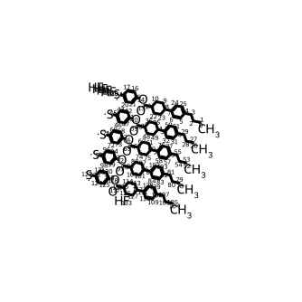 CCCCc1ccc(C2CCC(C(=O)Oc3ccc([S])cc3)CC2)cc1.CCCCc1ccc(C2CCC(C(=O)Oc3ccc([S])cc3)CC2)cc1.CCCCc1ccc(C2CCC(C(=O)Oc3ccc([S])cc3)CC2)cc1.CCCCc1ccc(C2CCC(C(=O)Oc3ccc([S])cc3)CC2)cc1.CCCCc1ccc(C2CCC(C(=O)Oc3ccc([S])cc3)CC2)cc1.F.F.F.F.F